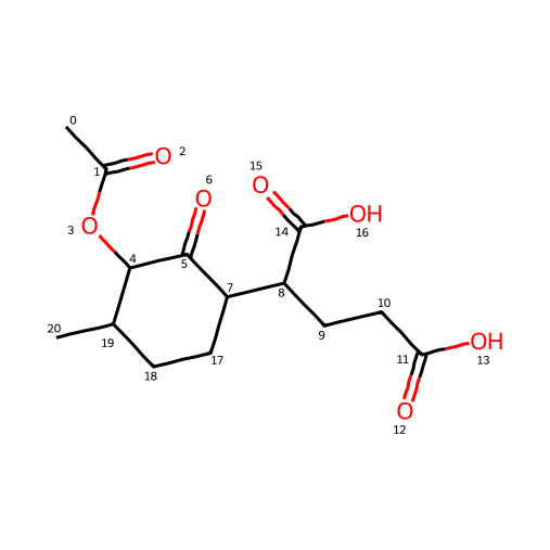 CC(=O)OC1C(=O)C(C(CCC(=O)O)C(=O)O)CCC1C